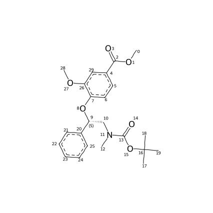 COC(=O)c1ccc(O[C@H](CN(C)C(=O)OC(C)(C)C)c2ccccc2)c(OC)c1